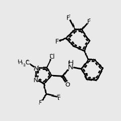 Cn1nc(C(F)F)c(C(=O)Nc2ccccc2-c2cc(F)c(F)c(F)c2)c1Cl